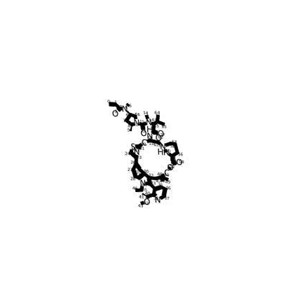 C=CC(=O)N(C)[C@@H]1C[C@H](C)N(C(=O)N(C)C(C(=O)N[C@H]2Cc3nc(cs3)-c3ccc4c(c3)c(c(-c3cccnc3[C@H](C)OC)n4CC)CC(C)(C)COC(=O)[C@@H]3CCCN(N3)C2=O)C(C)C)C1